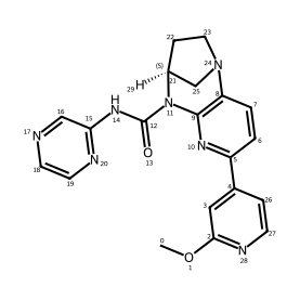 COc1cc(-c2ccc3c(n2)N(C(=O)Nc2cnccn2)[C@H]2CCN3C2)ccn1